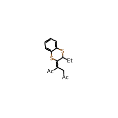 CCC1Sc2ccccc2S/C1=C(/CC(C)=O)C(C)=O